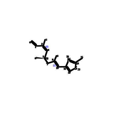 C=C/C(C)=C\[C@@H](C)[CH]/C(C)=C/c1csc(C)n1